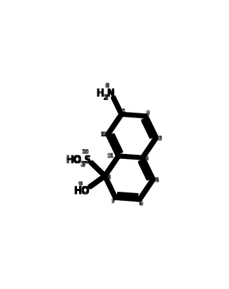 NC1C=CC2=CC=CC(O)(S(=O)(=O)O)C2=C1